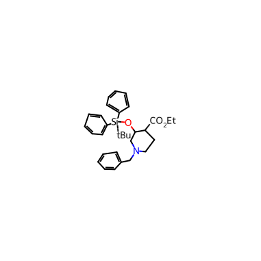 CCOC(=O)C1CCN(Cc2ccccc2)CC1O[Si](c1ccccc1)(c1ccccc1)C(C)(C)C